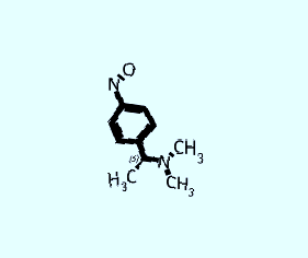 C[C@@H](c1ccc(N=O)cc1)N(C)C